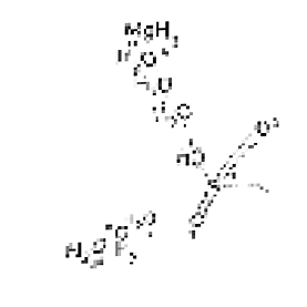 CS(=O)(=O)O.O.O.O.O.O.O.[MgH2]